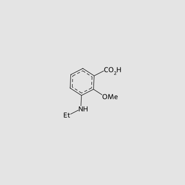 CCNc1cccc(C(=O)O)c1OC